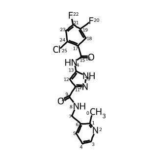 Cc1ncccc1CNC(=O)c1cc(NC(=O)c2cc(F)c(F)cc2Cl)[nH]n1